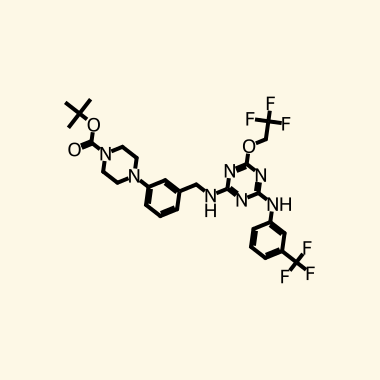 CC(C)(C)OC(=O)N1CCN(c2cccc(CNc3nc(Nc4cccc(C(F)(F)F)c4)nc(OCC(F)(F)F)n3)c2)CC1